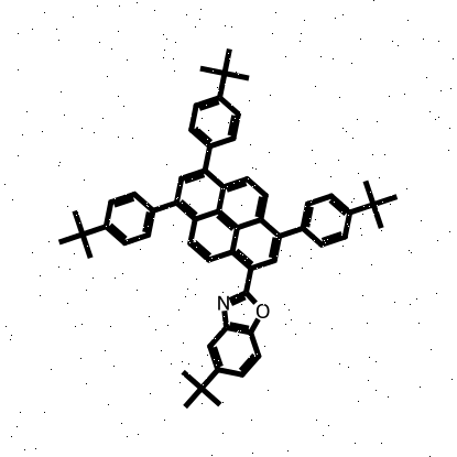 CC(C)(C)c1ccc(-c2cc(-c3ccc(C(C)(C)C)cc3)c3ccc4c(-c5nc6cc(C(C)(C)C)ccc6o5)cc(-c5ccc(C(C)(C)C)cc5)c5ccc2c3c54)cc1